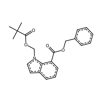 CC(C)(C)C(=O)OCn1ccc2cccc(C(=O)OCc3ccccc3)c21